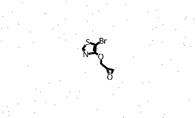 Brc1scnc1OCC1CO1